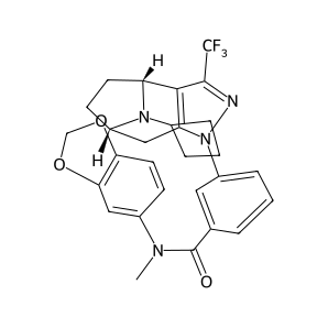 CN(C(=O)c1cccc(-n2nc(C(F)(F)F)c3c2C[C@@H]2CC[C@H]3N2C2CCC2)c1)c1ccc2c(c1)OCO2